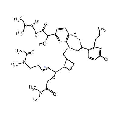 CCCc1cc(Cl)ccc1C1COc2ccc(C(O)C(=O)N[S+]([O-])N(C)C)cc2N(CC2CCC2C(/C=C/CCN(C)C(C)=O)OCC(=O)N(C)C)C1